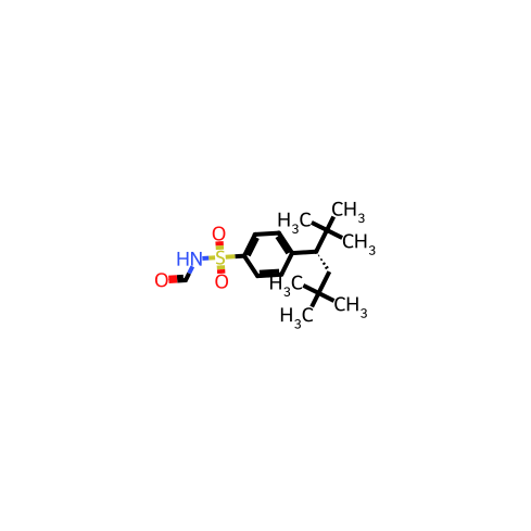 CC(C)(C)C[C@H](c1ccc(S(=O)(=O)NC=O)cc1)C(C)(C)C